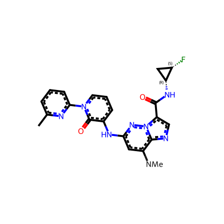 CNc1cc(Nc2cccn(-c3cccc(C)n3)c2=O)nn2c(C(=O)N[C@@H]3C[C@@H]3F)cnc12